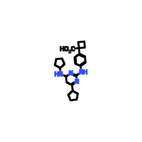 O=C(O)C1(c2ccc(NC3=NC(NC4CCCC4)CC(C4CCCC4)=N3)cc2)CCC1